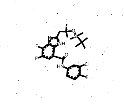 CC(C)(Cc1nc2c(F)c(F)cc(C(=O)Nc3ccc(F)c(Cl)c3)c2[nH]1)O[Si](C)(C)C(C)(C)C